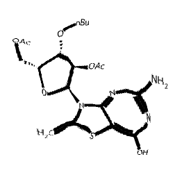 C=C1Sc2c(O)nc(N)nc2N1[C@H]1O[C@H](COC(C)=O)[C@H](OCCCC)[C@H]1OC(C)=O